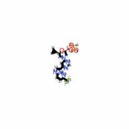 CS(=O)(=O)OC[C@@H]1CN(c2cc(-c3cnc4ccc(C(F)F)nn34)ncn2)C[C@H](C2CC2)O1